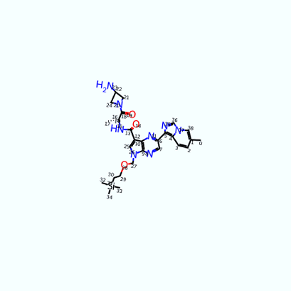 Cc1ccc2c(-c3cnc4c(n3)c(C(=O)N[C@H](C)C(=O)N3CC(N)C3)cn4COCC[Si](C)(C)C)ncn2c1